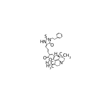 CC1(C)CCN2CCC(C)(C)c3c2c1cc1cc(C=CC=C2NC(=S)N(CCc4ccccc4)C2=O)c(=O)oc31